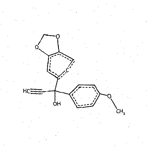 C#CC(O)(c1ccc(OC)cc1)c1ccc2c(c1)OCO2